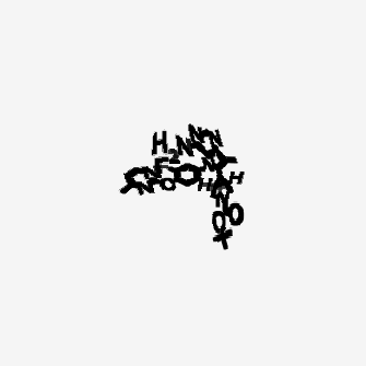 Cc1ccnc(Oc2ccc(-n3c(C4[C@H]5CN(C(=O)OC(C)(C)C)C[C@@H]45)c(C)c4ncnc(N)c43)cc2F)n1